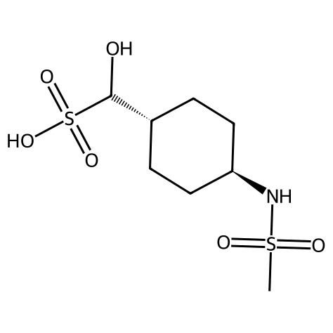 CS(=O)(=O)N[C@H]1CC[C@H](C(O)S(=O)(=O)O)CC1